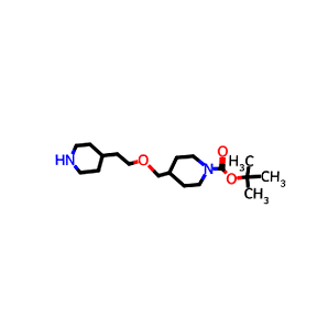 CC(C)(C)OC(=O)N1CCC(COCCC2CCNCC2)CC1